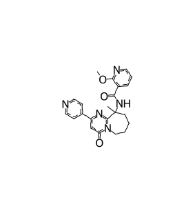 COc1ncccc1C(=O)NC1(C)CCCCn2c1nc(-c1ccncc1)cc2=O